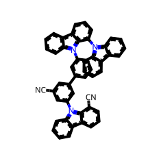 N#Cc1cc(-c2cccc(-n3c4ccccc4c4cccc(-n5c6ccccc6c6ccccc65)c43)c2)cc(-n2c3ccccc3c3cccc(C#N)c32)c1